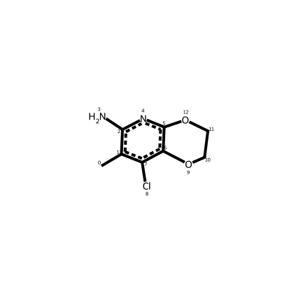 Cc1c(N)nc2c(c1Cl)OCCO2